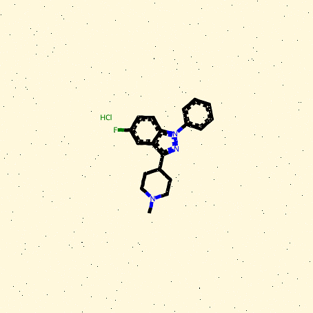 CN1CCC(c2nn(-c3ccccc3)c3ccc(F)cc23)CC1.Cl